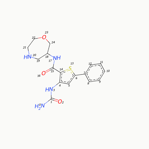 NC(=O)Nc1cc(-c2ccccc2)sc1C(=O)NC1CNCCOC1